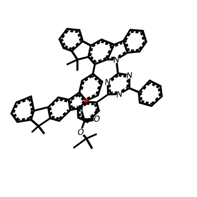 CC(C)(C)OC(=O)n1c2ccc(-c3c4c(cc5c6ccccc6n(-c6nc(-c7ccccc7)nc(-c7ccccc7)n6)c35)-c3ccccc3C4(C)C)cc2c2cc3c(cc21)C(C)(C)c1ccccc1-3